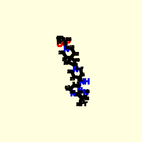 Cc1cc(NC2CCN(C3CC4(CCN(C(=O)OC(C)(C)C)CC4)C3)CC2)n2ncc(C(C)C)c2n1